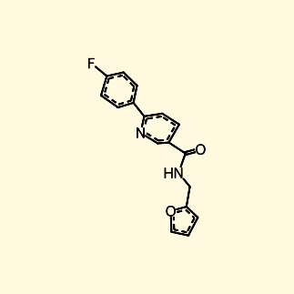 O=C(NCc1ccco1)c1ccc(-c2ccc(F)cc2)nc1